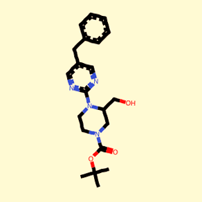 CC(C)(C)OC(=O)N1CCN(c2ncc(Cc3ccccc3)cn2)C(CO)C1